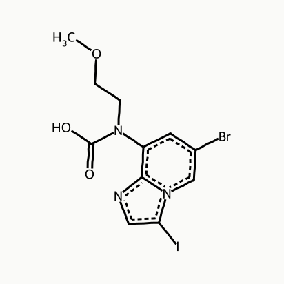 COCCN(C(=O)O)c1cc(Br)cn2c(I)cnc12